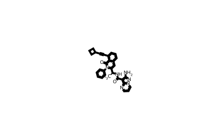 C[C@H](NC(=O)c1c(N)nn2cccnc12)c1cc2cccc(C#CC3CCC3)c2c(=O)n1-c1ccccc1